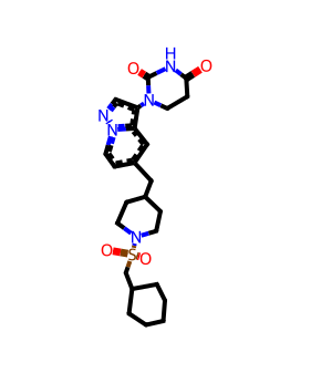 O=C1CCN(c2cnn3ccc(CC4CCN(S(=O)(=O)CC5CCCCC5)CC4)cc23)C(=O)N1